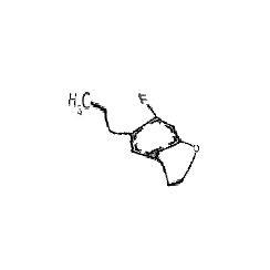 CCCc1cc2c(cc1F)OCC2